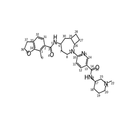 Cc1c(C(=O)NC2CCN(c3ccc(C(=O)N[C@@H]4CCCN(C)C4)cn3)C3CCC3C2)ccc2c1OCC2